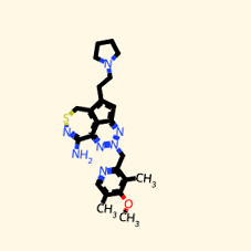 COc1c(C)cnc(Cn2nc3cc(CCN4CCCC4)c4c-3c(n2)C(N)=NSC4)c1C